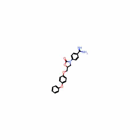 N=C(N)c1ccc(N2CC(COc3ccc(Oc4ccccc4)cc3)OC2=O)cc1